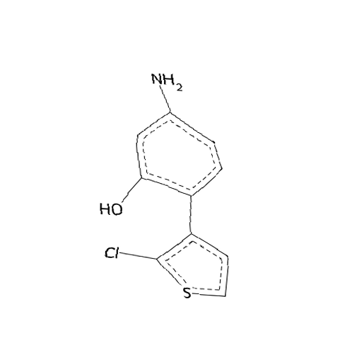 Nc1ccc(-c2ccsc2Cl)c(O)c1